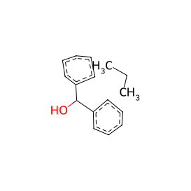 CCC.OC(c1ccccc1)c1ccccc1